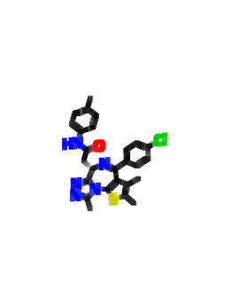 Cc1ccc(NC(=O)C[C@@H]2N=C(c3ccc(Cl)cc3)c3c(sc(C)c3C)-n3c(C)nnc32)cc1